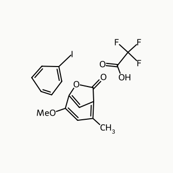 COc1cc(C)c2cc1OC2=O.Ic1ccccc1.O=C(O)C(F)(F)F